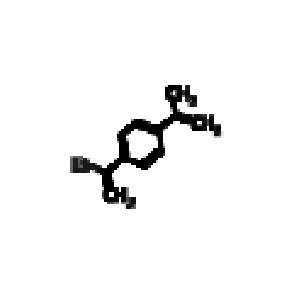 C=C(C)c1ccc(C(=C)CC)cc1